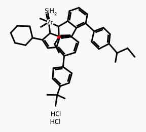 CCC1=Cc2c(-c3ccc(C(C)CC)cc3)cccc2[CH]1[Zr]([CH3])([CH3])(=[SiH2])[CH]1C(C2CCCCC2)=Cc2c(-c3ccc(C(C)(C)C)cc3)cccc21.Cl.Cl